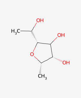 CC(O)[C@H]1O[C@@H](C)[C@@H](O)C1O